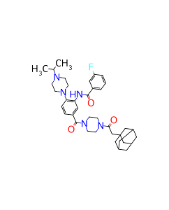 CC(C)N1CCN(c2ccc(C(=O)N3CCN(C(=O)CC45CC6CC(CC(C6)C4)C5)CC3)cc2NC(=O)c2cccc(F)c2)CC1